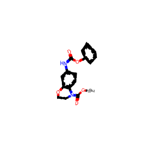 CC(C)(C)OC(=O)N1CCOc2cc(NC(=O)Oc3ccccc3)ccc21